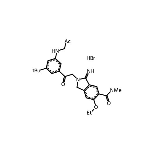 Br.CCOc1cc2c(cc1C(=O)NC)C(=N)N(CC(=O)c1cc(NCC(C)=O)cc(C(C)(C)C)c1)C2